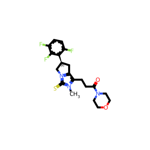 Cn1c(CCC(=O)N2CCOCC2)c2n(c1=S)C[C@@H](c1c(F)ccc(F)c1F)C2